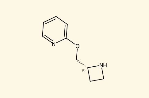 c1ccc(OC[C@H]2CCN2)nc1